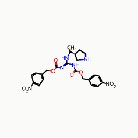 CC(N/C(=N\C(=O)OCc1ccc([N+](=O)[O-])cc1)NC(=O)OCc1ccc([N+](=O)[O-])cc1)[C@H]1CCNC1